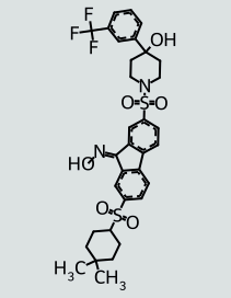 CC1(C)CCC(S(=O)(=O)c2ccc3c(c2)/C(=N\O)c2cc(S(=O)(=O)N4CCC(O)(c5cccc(C(F)(F)F)c5)CC4)ccc2-3)CC1